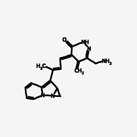 C=c1c(CN)n[nH]c(=O)/c1=C/C=C(\C)C1=C2C=CC=CN2N2CC12